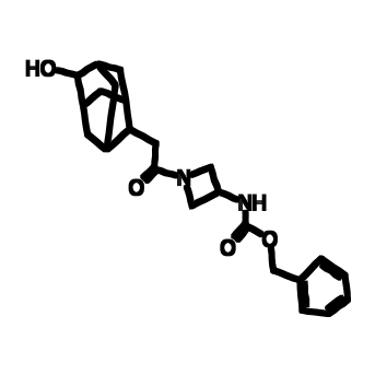 O=C(NC1CN(C(=O)CC2C3CC4CC2CC(C3)C4O)C1)OCc1ccccc1